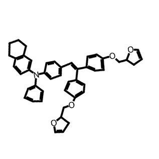 C1=COC(COc2ccc(C(=Cc3ccc(N(c4ccccc4)c4ccc5c(c4)CCCC5)cc3)c3ccc(OCC4CC=CO4)cc3)cc2)C1